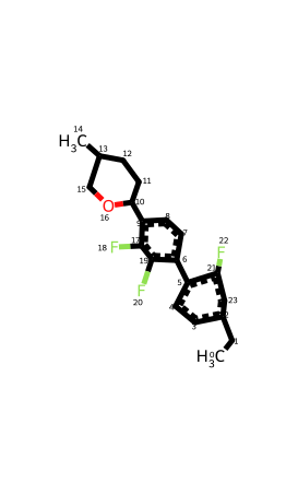 CCc1ccc(-c2ccc(C3CCC(C)CO3)c(F)c2F)c(F)c1